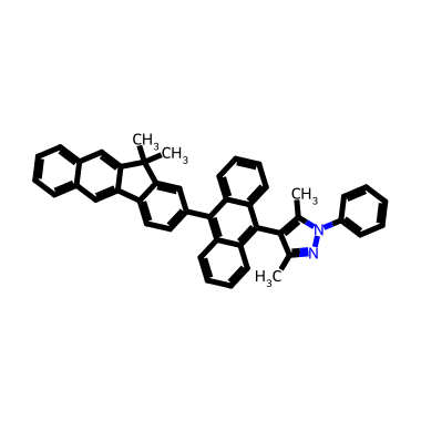 Cc1nn(-c2ccccc2)c(C)c1-c1c2ccccc2c(-c2ccc3c(c2)C(C)(C)c2cc4ccccc4cc2-3)c2ccccc12